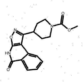 COC(=O)N1CCC(c2noc3[nH]c(=O)c4ccccc4c23)CC1